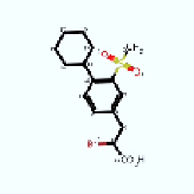 CS(=O)(=O)c1cc(CC(Br)C(=O)O)ccc1C1CCCCC1